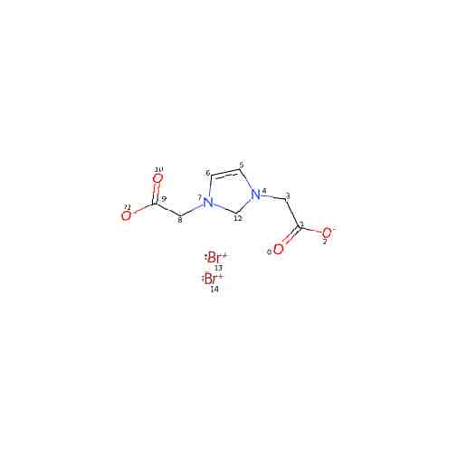 O=C([O-])CN1C=CN(CC(=O)[O-])C1.[Br+].[Br+]